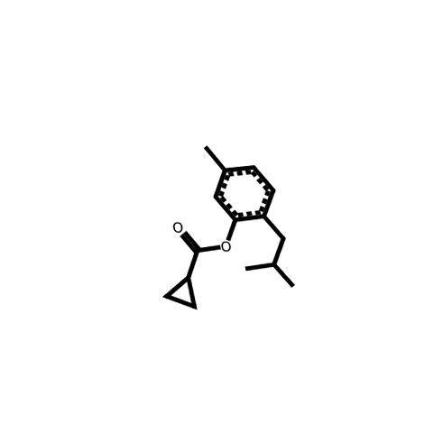 Cc1ccc(CC(C)C)c(OC(=O)C2CC2)c1